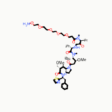 CC[C@H](C)[C@@H]([C@@H](CC(=O)N1CCC[C@H]1[C@H](OC)[C@@H](C)C(=O)N[C@@H](Cc1ccccc1)c1nccs1)OC)N(C)C(=O)[C@@H](NCC(=O)[C@H](C(C)C)N(C)C(=O)CCOCCOCCOCCOCCON)C(C)C